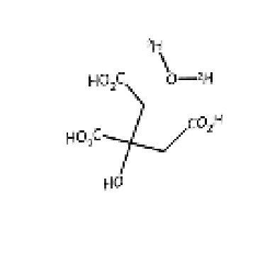 O=C(O)CC(O)(CC(=O)O)C(=O)O.[2H]O[2H]